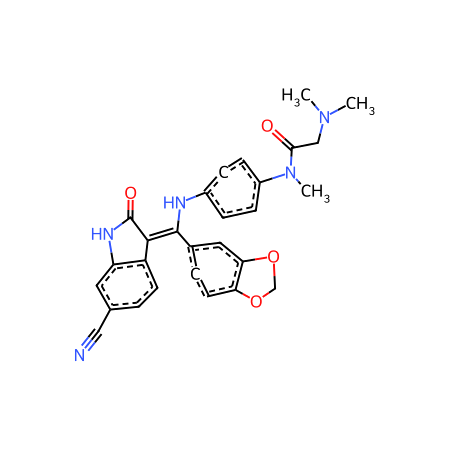 CN(C)CC(=O)N(C)c1ccc(N/C(=C2\C(=O)Nc3cc(C#N)ccc32)c2ccc3c(c2)OCO3)cc1